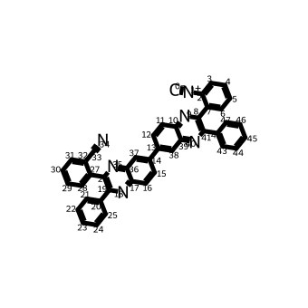 [C-]#[N+]c1ccccc1-c1nc2ccc(-c3ccc4nc(-c5ccccc5)c(-c5ccccc5C#N)nc4c3)cc2nc1-c1ccccc1